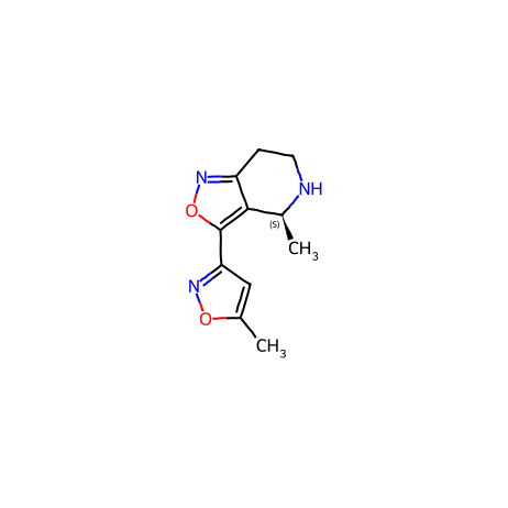 Cc1cc(-c2onc3c2[C@H](C)NCC3)no1